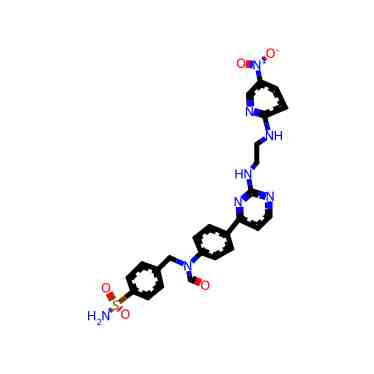 NS(=O)(=O)c1ccc(CN(C=O)c2ccc(-c3ccnc(NCCNc4ccc([N+](=O)[O-])cn4)n3)cc2)cc1